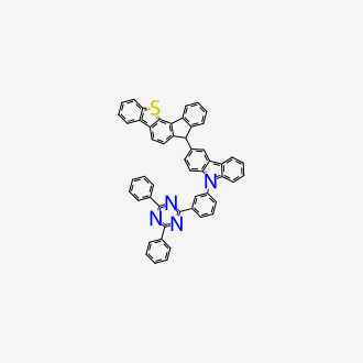 c1ccc(-c2nc(-c3ccccc3)nc(-c3cccc(-n4c5ccccc5c5cc(C6c7ccccc7-c7c6ccc6c7sc7ccccc76)ccc54)c3)n2)cc1